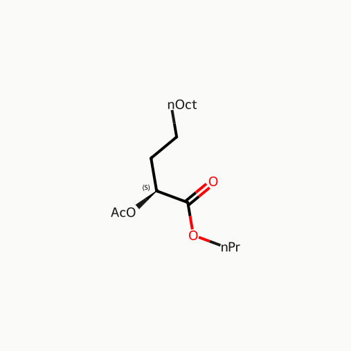 CCCCCCCCCC[C@H](OC(C)=O)C(=O)OCCC